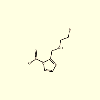 O=[N+]([O-])n1ccnc1CNCCBr